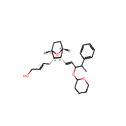 CC(c1ccccc1)C(C=C[C@@H]1[C@H](C/C=C/CO)[C@@H]2CC[C@H]1O2)OC1CCCCO1